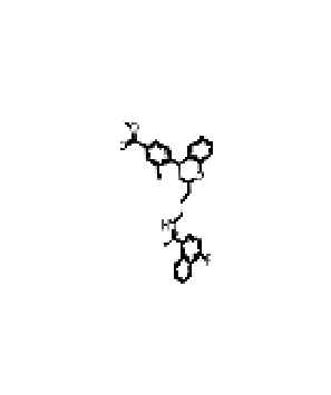 COC(=O)c1ccc(C2CC(CCCN[C@H](C)c3ccc(F)c4ccccc34)Oc3ccccc32)c(C)c1